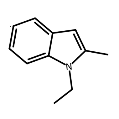 CCn1c(C)cc2c[c]ccc21